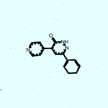 O=c1[nH]nc(C2=CCCC=C2)cc1-c1ccncc1